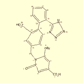 CCCCc1cc(C(=O)O)cc(=O)n1Cc1ccc(-c2ccccc2-c2nnn[nH]2)c(C(=O)O)c1